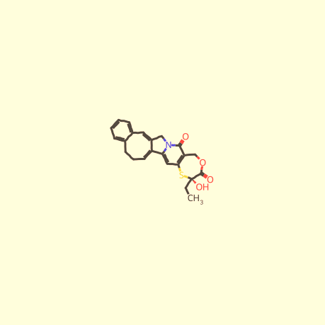 CC[C@]1(O)Sc2cc3n(c(=O)c2COC1=O)CC1=C/c2ccccc2CC/C=C\13